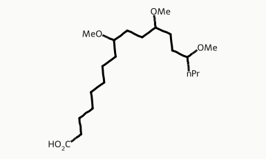 CCCC(CCC(CCC(CCCCCCCC(=O)O)OC)OC)OC